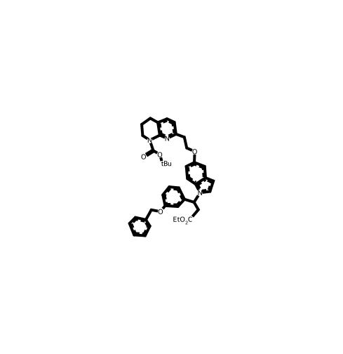 CCOC(=O)CC(c1cccc(OCc2ccccc2)c1)n1ccc2cc(OCCc3ccc4c(n3)N(C(=O)OC(C)(C)C)CCC4)ccc21